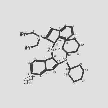 CC(C)CP(CC(C)C)C1=Cc2ccccc2[CH]1[Zr+2][CH]1C(P(C2CCCCC2)C2CCCCC2)=Cc2ccccc21.[Cl-].[Cl-]